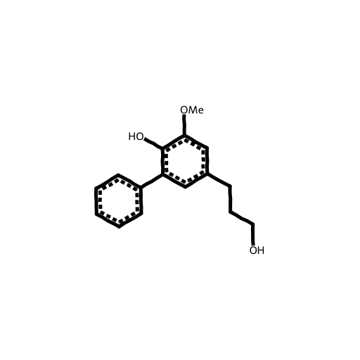 COc1cc(CCCO)cc(-c2ccccc2)c1O